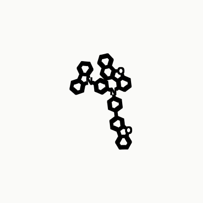 c1ccc2c(c1)ccc1c2oc2cccc(N(c3ccc(-c4ccc5c(c4)oc4ccccc45)cc3)c3ccc(-n4c5ccccc5c5ccccc54)cc3)c21